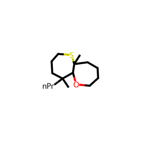 CCCC1(C)CCCSC2(C)CCCCOC12